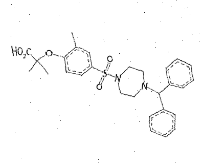 Cc1cc(S(=O)(=O)N2CCN(C(c3ccccc3)c3ccccc3)CC2)ccc1OC(C)(C)C(=O)O